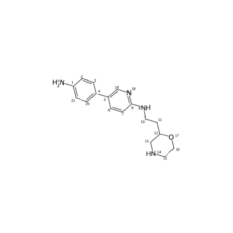 Nc1ccc(-c2ccc(NCCC3CNCCO3)nc2)cc1